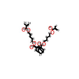 C=C(C)C(=O)OCCCCCOC(=O)C12CC3CC(C1)CC(C(=O)OCCCCCOC(=O)C(=C)C)(C3)C2